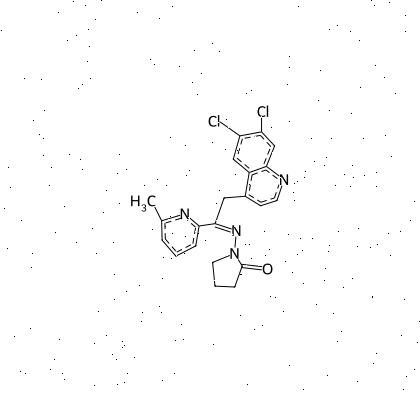 Cc1cccc(C(Cc2ccnc3cc(Cl)c(Cl)cc23)=NN2CCCC2=O)n1